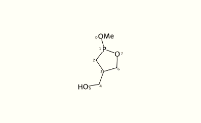 COP1CC(CO)CO1